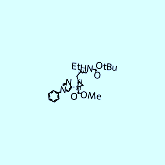 CC[C@@H](CNC(=O)OC(C)(C)C)C[C@H]1C[C@]1(C(=O)OC)c1cn(-c2ccccc2)cn1